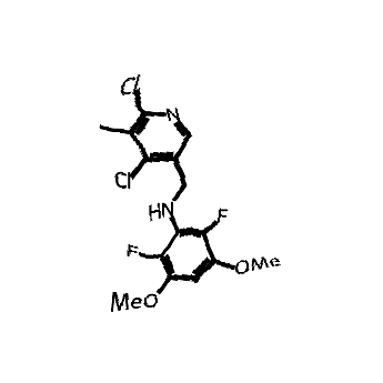 COc1cc(OC)c(F)c(NCc2cnc(Cl)c(C)c2Cl)c1F